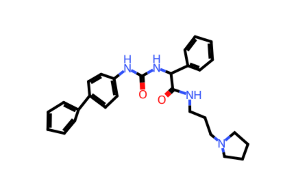 O=C(Nc1ccc(-c2ccccc2)cc1)NC(C(=O)NCCCN1CCCC1)c1ccccc1